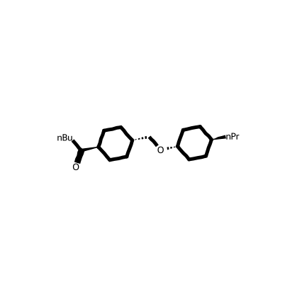 CCCCC(=O)[C@H]1CC[C@H](CO[C@H]2CC[C@H](CCC)CC2)CC1